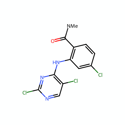 CNC(=O)c1ccc(Cl)cc1Nc1nc(Cl)ncc1Cl